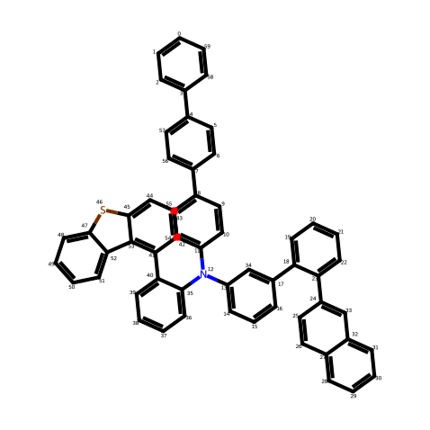 c1ccc(-c2ccc(-c3ccc(N(c4cccc(-c5ccccc5-c5ccc6ccccc6c5)c4)c4ccccc4-c4cccc5sc6ccccc6c45)cc3)cc2)cc1